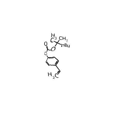 C=Cc1ccc(OC(=O)OC(C)(C)CCCC)cc1